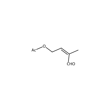 CC(=O)OC/C=C(/C)C=O